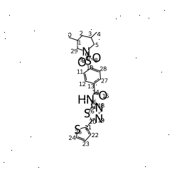 CC1CC(C)CN(S(=O)(=O)c2ccc(C(=O)Nc3nnc(-c4cccs4)s3)cc2)C1